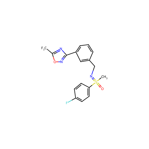 CS(=O)(=NCc1cccc(-c2noc(C(F)(F)F)n2)c1)c1ccc(F)cc1